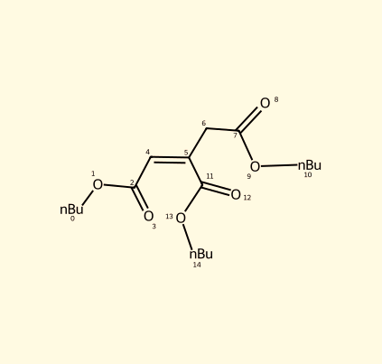 CCCCOC(=O)C=C(CC(=O)OCCCC)C(=O)OCCCC